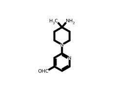 CC1(N)CCN(c2cc(C=O)ccn2)CC1